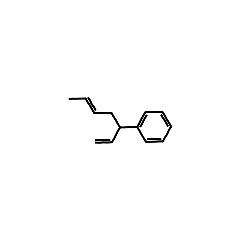 C=CC(CC=CC)c1ccccc1